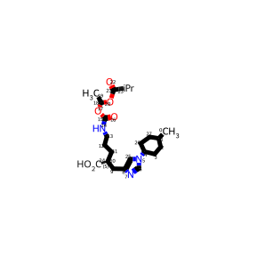 CC1CCC(n2cnc(C[C@H](CCCNC(=O)OC(C)OC(=O)C(C)C)C(=O)O)c2)CC1